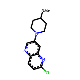 CNC1CCN(c2cnc3ccc(Cl)nc3c2)CC1